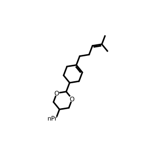 CCCC1COC(C2CC=C(CCC=C(C)C)CC2)OC1